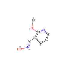 CCOc1ncccc1/C=N/O